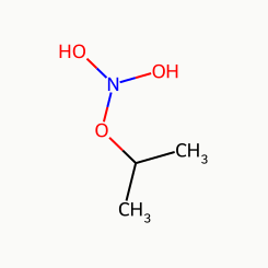 CC(C)ON(O)O